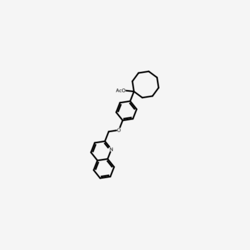 CC(=O)OC1(c2ccc(OCc3ccc4ccccc4n3)cc2)CCCCCCC1